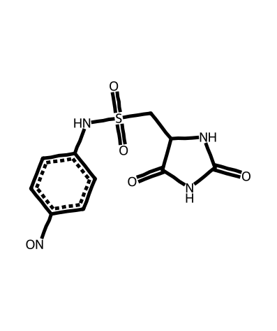 O=Nc1ccc(NS(=O)(=O)CC2NC(=O)NC2=O)cc1